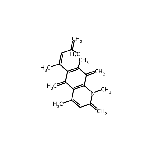 C=C(C)/C=C(/C)c1c(C)c(=C)c2c(c1=C)C(C)=CC(=C)N2C